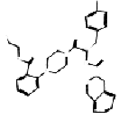 NCCNC(=O)c1ccccc1N1CCN(C(=O)[C@@H](Cc2ccc(Cl)cc2)NC(=O)[C@@H]2Cc3ccccc3CN2)CC1